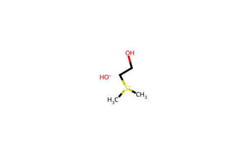 C[S+](C)CCO.[OH-]